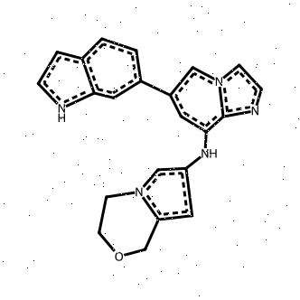 c1cn2cc(-c3ccc4cc[nH]c4c3)cc(Nc3cc4n(c3)CCOC4)c2n1